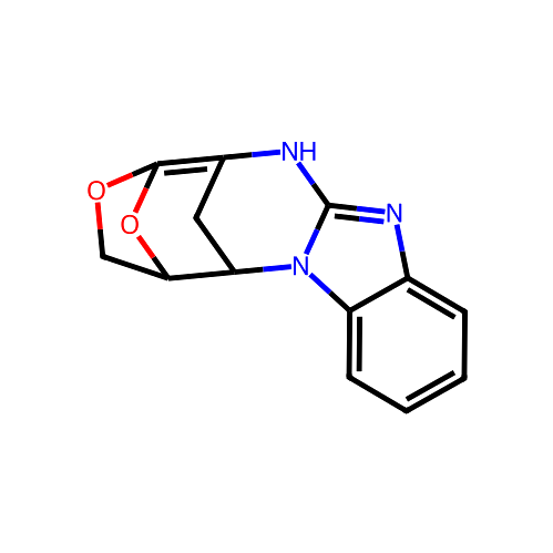 c1ccc2c(c1)nc1n2C2CC(=C3OCC2O3)N1